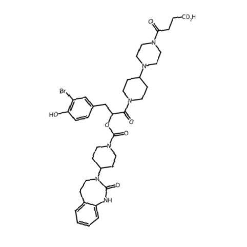 O=C(O)CCC(=O)N1CCN(C2CCN(C(=O)C(Cc3ccc(O)c(Br)c3)OC(=O)N3CCC(N4CCc5ccccc5NC4=O)CC3)CC2)CC1